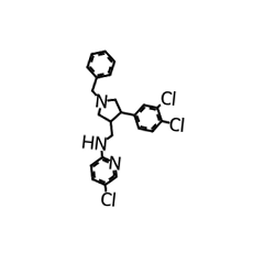 Clc1ccc(NCC2CN(Cc3ccccc3)CC2c2ccc(Cl)c(Cl)c2)nc1